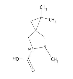 CN1CC2(C[C@H]1C(=O)O)CC2(C)C